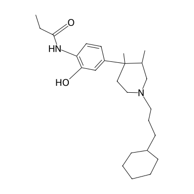 CCC(=O)Nc1ccc(C2(C)CCN(CCCC3CCCCC3)CC2C)cc1O